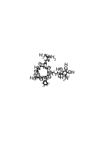 NC[C@@H]1OC(C(=O)NCCCC[C@@H]2NC(=O)[C@@H](Cc3ccccc3)NC(=O)[C@@H](CC(=O)O)NC(=O)CNC(=O)[C@H](CCCN=C(N)N)NC2=O)[C@H](O)C(O)C1O